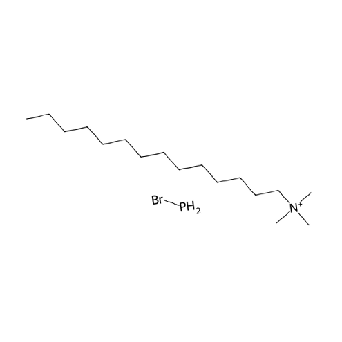 CCCCCCCCCCCCCC[N+](C)(C)C.PBr